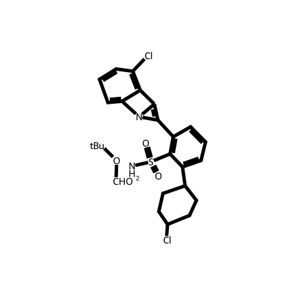 CC(C)(C)OC=O.NS(=O)(=O)c1c(-c2c3c4c(Cl)cccc4n2-3)cccc1C1CCC(Cl)CC1